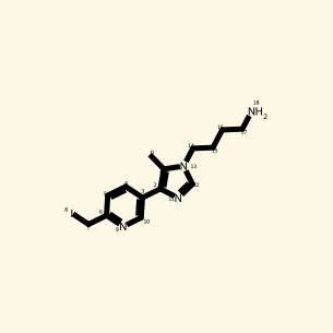 Cc1c(-c2ccc(CI)nc2)ncn1CCCCN